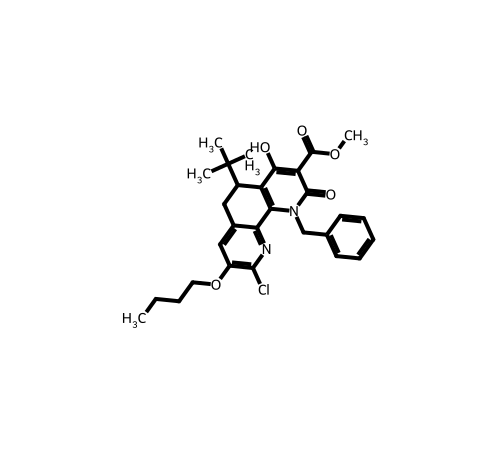 CCCCOc1cc2c(nc1Cl)-c1c(c(O)c(C(=O)OC)c(=O)n1Cc1ccccc1)C(C(C)(C)C)C2